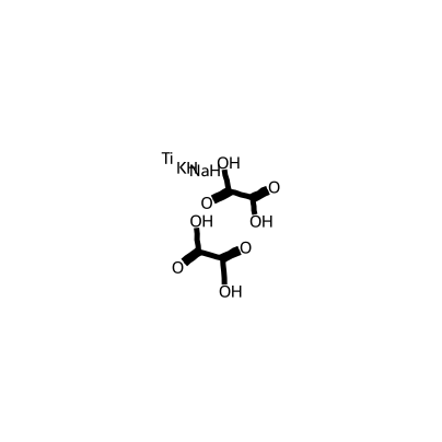 O=C(O)C(=O)O.O=C(O)C(=O)O.[KH].[NaH].[Ti]